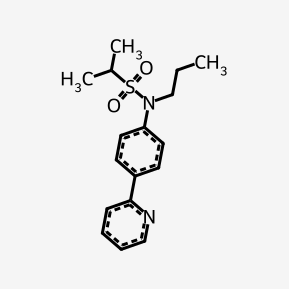 CCCN(c1ccc(-c2ccccn2)cc1)S(=O)(=O)C(C)C